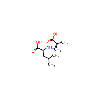 C=C(C)C(=O)O.CC(C)CC(N)C(=O)O